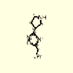 CC(C)Cc1nc(C2CCNC2)no1